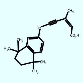 CC(C#C[Se]c1ccc2c(c1)C(C)(C)CCC2(C)C)=CC(=O)O